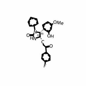 COc1ccc([C@@H]2[C@H](CCC(=O)c3ccc(F)cc3)NC(=O)N2c2ccccc2)c(O)c1